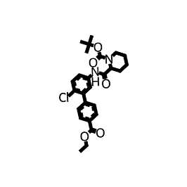 CCOC(=O)c1ccc(-c2cc(NC(=O)C3CCCCN3C(=O)OC(C)(C)C)ccc2Cl)cc1